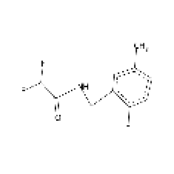 Cc1ccc(F)c(CNC(=O)C(F)F)c1